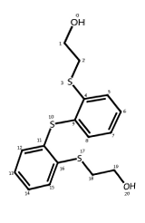 OCCSc1ccccc1Sc1ccccc1SCCO